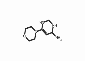 NC1C=C(N2CCOCC2)NCN1